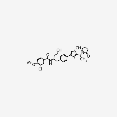 CC(C)Oc1ccc(C(=O)NC(CCO)Cc2ccc(-c3cn(C)c([C@H](C)N4CCCC4=O)n3)cc2)cc1Cl